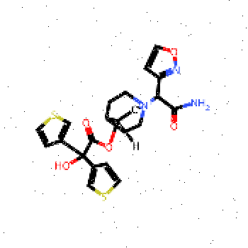 NC(=O)C(c1ccon1)[N+]12CCC(CC1)[C@@H](OC(=O)C(O)(c1ccsc1)c1ccsc1)C2